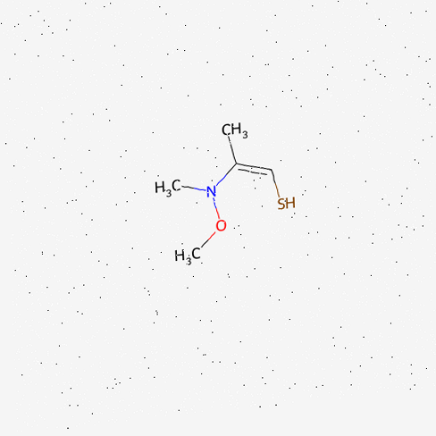 CON(C)/C(C)=C\S